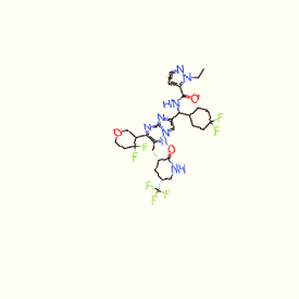 CCn1nccc1C(=O)N[C@H](c1cn2nc(C[C@H]3C[C@@H](C(F)(F)F)CNC3=O)c(C3COCCC3(F)F)nc2n1)C1CCC(F)(F)CC1